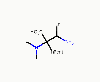 CCCCCC(C(=O)O)(C(N)CC)N(C)C